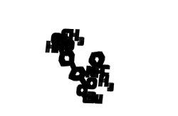 Cc1ccccc1Nc1cc(-c2ccc(NS(C)(=O)=O)cc2)ccc1C(=O)OC(C)(C)C